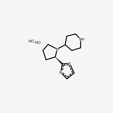 Cl.Cl.c1csc([C@H]2CCCN2C2CCNCC2)n1